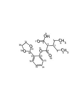 CCC(CC)C(C(=O)O)C(=O)Oc1ccccc1C1OCCO1